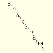 COCCNCCOCCOCCOCCOCCOCCOCCOC